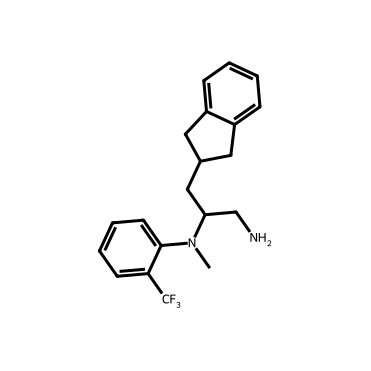 CN(c1ccccc1C(F)(F)F)C(CN)CC1Cc2ccccc2C1